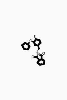 O=C1c2ccccc2C(=O)N1OCc1ccc(F)c(Oc2ccccc2)c1